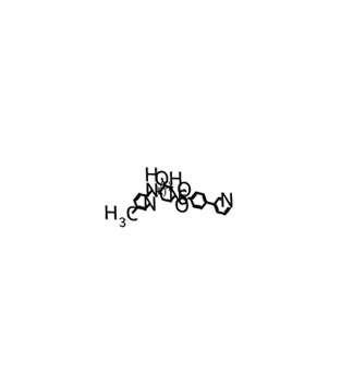 Cc1ccc(N[C@@H]2CCN(S(=O)(=O)c3ccc(-c4cccnc4)cc3)C[C@@H]2O)nc1